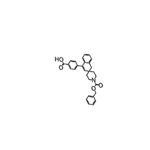 O=C(O)c1ccc(C2=CC3(CCN(C(=O)OCc4ccccc4)CC3)Cc3ccccc32)cc1